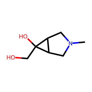 CN1CC2C(C1)C2(O)CO